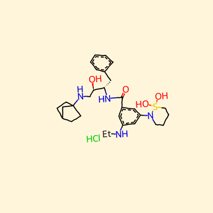 CCNc1cc(C(=O)N[C@@H](Cc2ccccc2)[C@H](O)CNC23CCC(CC2)C3)cc(N2CCCCS2(O)O)c1.Cl